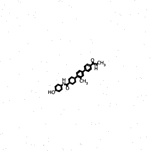 CNC(=O)c1ccc(-c2ccc(C3CCC(C(=O)NC4CCC(O)CC4)CC3)c(C)c2)cc1